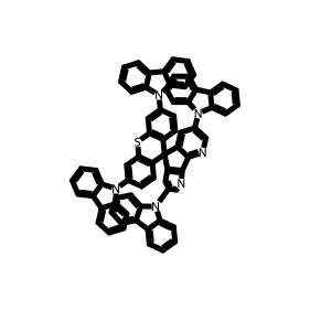 c1ccc2c(c1)c1ccccc1n2-c1ccc2c(c1)Sc1cc(-n3c4ccccc4c4ccccc43)ccc1C21c2cc(-n3c4ccccc4c4ccccc43)cnc2-c2ncc(-n3c4ccccc4c4ccccc43)cc21